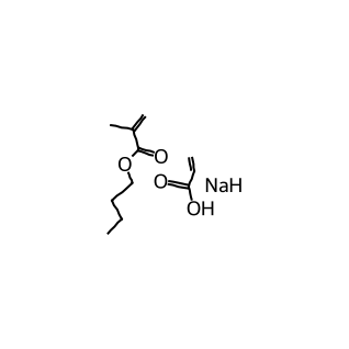 C=C(C)C(=O)OCCCC.C=CC(=O)O.[NaH]